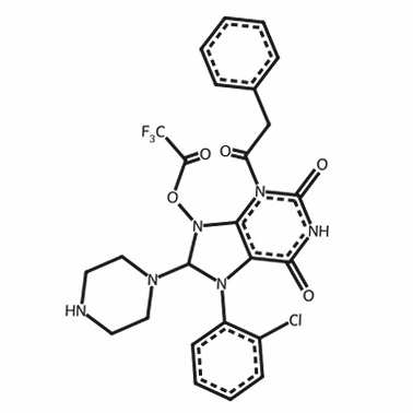 O=C(Cc1ccccc1)n1c2c(c(=O)[nH]c1=O)N(c1ccccc1Cl)C(N1CCNCC1)N2OC(=O)C(F)(F)F